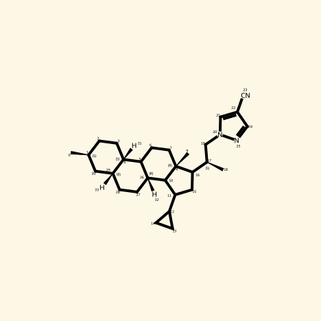 C[C@H]1CC[C@@H]2C3CC[C@@]4(C)C(C(C5CC5)CC4[C@H](C)Cn4cc(C#N)cn4)[C@@H]3CC[C@@H]2C1